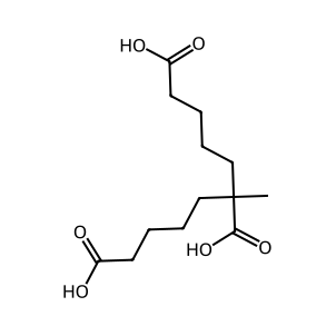 CC(CCCCC(=O)O)(CCCCC(=O)O)C(=O)O